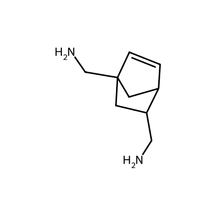 NCC1CC2(CN)C=CC1C2